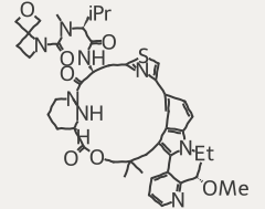 CCn1c(-c2cccnc2[C@H](C)OC)c2c3cc(ccc31)-c1csc(n1)C[C@H](NC(=O)[C@H](C(C)C)N(C)C(=O)N1CCC13COC3)C(=O)N1CCC[C@H](N1)C(=O)OCC(C)(C)C2